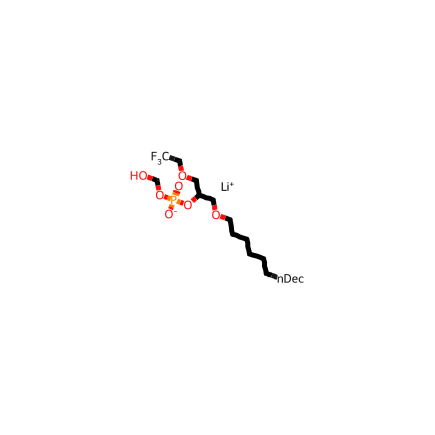 CCCCCCCCCCCCCCCCOCC(COCC(F)(F)F)OP(=O)([O-])OCO.[Li+]